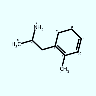 CC1=C(CC(C)N)CCC=C1